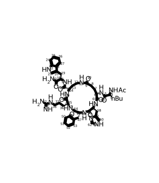 CCCC[C@H](NC(C)=O)C(=O)N[C@H]1CCC(=O)NCC[C@@H](C(=O)N[C@H](Cc2c[nH]c3ccccc23)C(N)=O)NC(=O)[C@H](CCCNC(=N)N)NC(=O)[C@@H](Cc2ccccc2)NC(=O)[C@H](Cc2c[nH]cn2)NC1=O